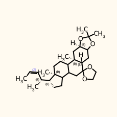 C/C=C\[C@@H](C)[C@H]1CCC2C3CC4(OCCO4)[C@H]4CC5OC(C)(C)O[C@@H]5C[C@]4(C)C3CC[C@@]21C